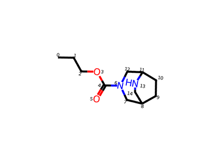 CCCOC(=O)N1CC2CCC(C1)NC2